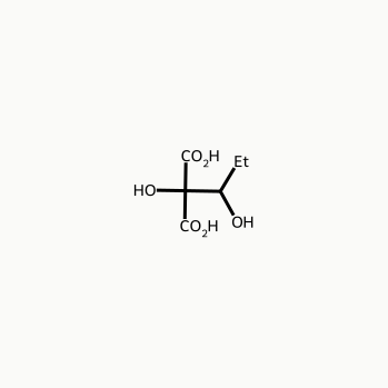 CCC(O)C(O)(C(=O)O)C(=O)O